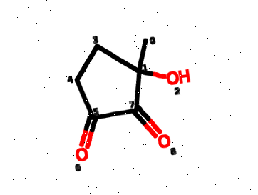 CC1(O)CCC(=O)C1=O